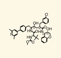 COC(=O)N[C@H](C(=O)N[C@@H](Cc1ccc(-c2cc(C)nc(C)c2)cc1)[C@@H](O)C[C@@H](Cc1cccc(Cl)c1)C(=O)N[C@H]1c2ccccc2OC[C@H]1O)C(C)(C)C